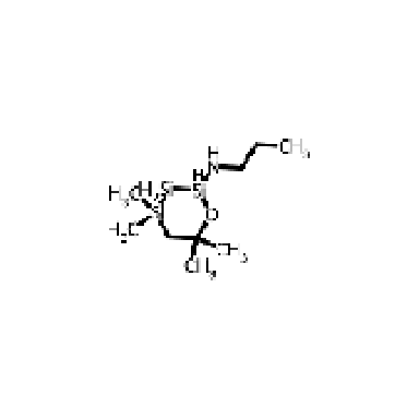 CCCN[SiH]1OC(C)(C)C[Si](C)(C)[SiH2]1